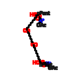 CCCCCC(OC(=O)C[N+](C)(C)CCOC(C)=O)C(O)CC=CCCCCCCCC(=O)OCCCCCCCCOC(=O)CCCCCCCC=CCC(O)C(CCCCC)OC(=O)C[N+](C)(C)CCOC(C)=O